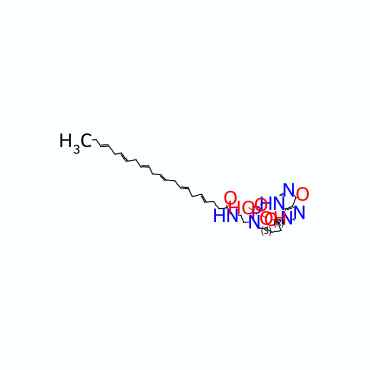 CCC=CCC=CCC=CCC=CCC=CCC=CCCC(=O)NCCN(C[C@@H]1CC[C@H](n2cnc3c(=O)nc[nH]c32)O1)P(=O)(O)O